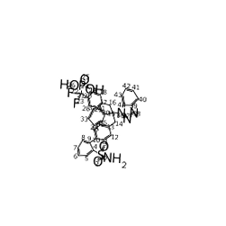 NS(=O)(=O)c1ccccc1-c1ccc(CC(Cc2ccc(C(F)(F)P(=O)(O)O)cc2)(c2ccccc2)n2nnc3ccccc32)cc1